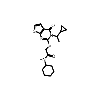 CC(C1CC1)n1c(SCC(=O)NC2CCCCC2)nc2sccc2c1=O